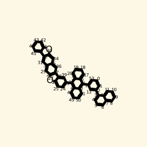 c1cc(-c2cccc3ccccc23)cc(-c2c3ccccc3c(-c3ccc4oc5cc6cc7c(cc6cc5c4c3)oc3ccccc37)c3ccccc23)c1